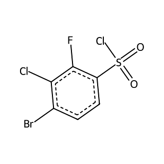 O=S(=O)(Cl)c1ccc(Br)c(Cl)c1F